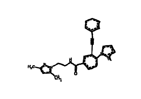 Cc1cc(C)n(CCNC(=O)c2ccc(-n3cccn3)c(C#Cc3ccccc3)c2)n1